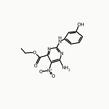 CCOC(=O)c1nc(Nc2cccc(O)c2)nc(N)c1[N+](=O)[O-]